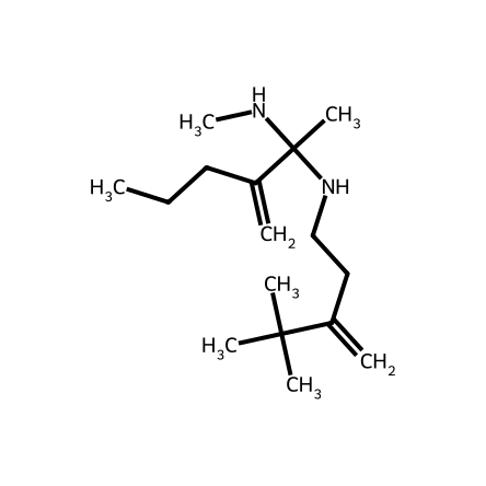 C=C(CCNC(C)(NC)C(=C)CCC)C(C)(C)C